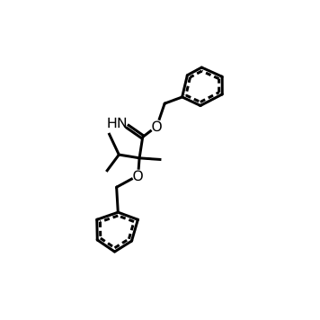 CC(C)C(C)(OCc1ccccc1)C(=N)OCc1ccccc1